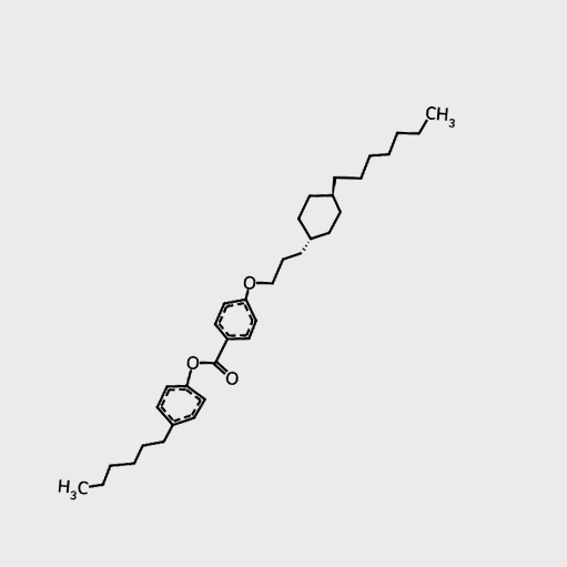 CCCCCCC[C@H]1CC[C@H](CCCOc2ccc(C(=O)Oc3ccc(CCCCCC)cc3)cc2)CC1